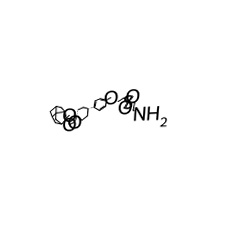 NCCS(=O)(=O)CCOc1ccc([C@H]2CC[C@]3(CC2)OO[C@]2(O3)C3CC4CC(C3)CC2C4)cc1